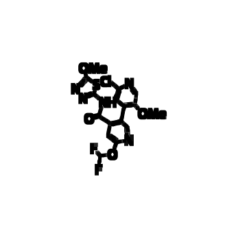 COc1nnc(NC(=O)c2cc(OC(F)F)ncc2-c2cc(Cl)ncc2OC)s1